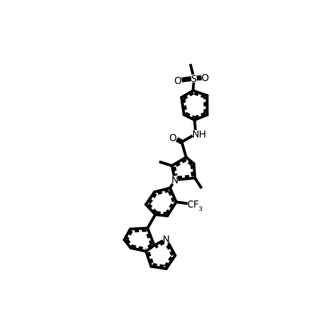 Cc1cc(C(=O)Nc2ccc(S(C)(=O)=O)cc2)c(C)n1-c1ccc(-c2cccc3cccnc23)cc1C(F)(F)F